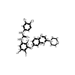 O=C(Nc1ccc(Cl)c(F)c1)Nc1cc(F)c(F)c(Oc2ccc3ncc(N4CCOCC4)nc3c2)c1F